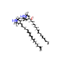 CCCCCCCCCCCCCCCCCC(=O)C1CC(C)(C)NC(C)(C)C1.CCCCCCCCCCCCCCCCCCC1CC(C)(C)NC(C)(C)C1